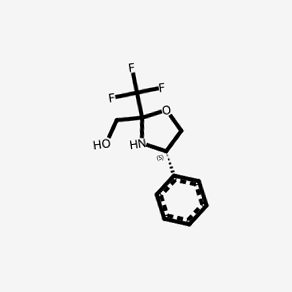 OCC1(C(F)(F)F)N[C@@H](c2ccccc2)CO1